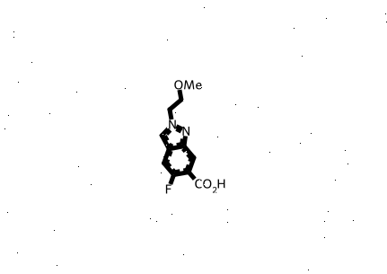 COCCn1cc2cc(F)c(C(=O)O)cc2n1